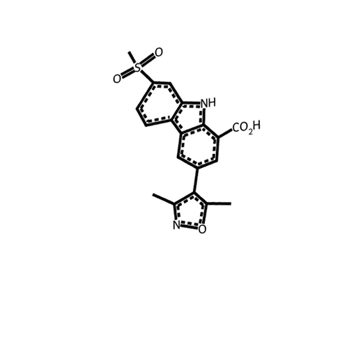 Cc1noc(C)c1-c1cc(C(=O)O)c2[nH]c3cc(S(C)(=O)=O)ccc3c2c1